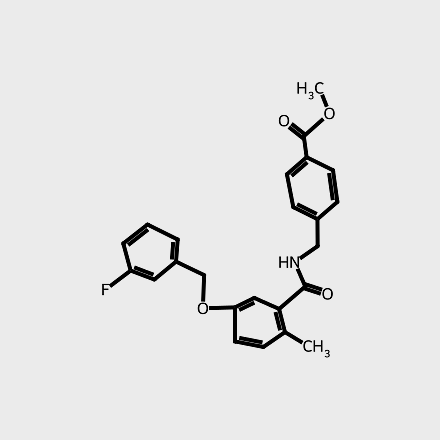 COC(=O)c1ccc(CNC(=O)c2cc(OCc3cccc(F)c3)ccc2C)cc1